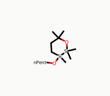 CCCCCO[Si]1(C)CCC(C)(C)O[Si]1(C)C